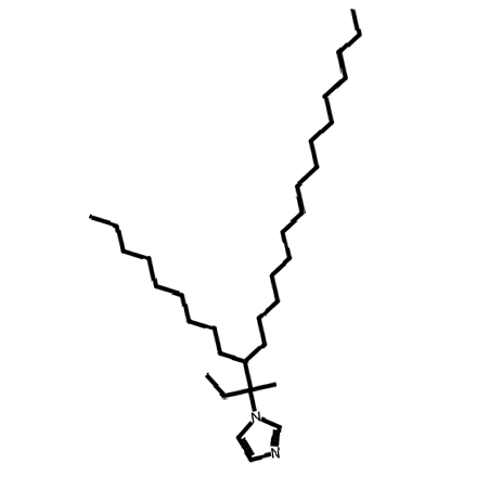 CCCCCCCCCCCCCCCCC(CCCCCCCCC)C(C)(CC)n1ccnc1